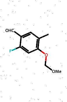 COCOc1cc(F)c(C=O)cc1C